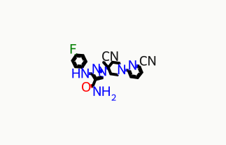 N#CCC1(n2cc(C(N)=O)c(Nc3ccc(F)cc3)n2)CCN(c2cccc(C#N)n2)CC1